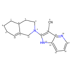 N#Cc1c(N2CCC3CCCC=C3C2)[nH]c2cccnc12